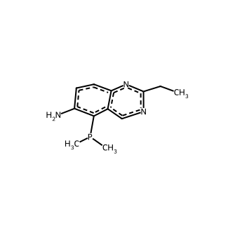 CCc1ncc2c(P(C)C)c(N)ccc2n1